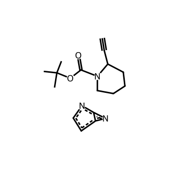 C#CC1CCCCN1C(=O)OC(C)(C)C.c1cc2nc-2n1